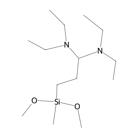 CCN(CC)C(CC[Si](C)(OC)OC)N(CC)CC